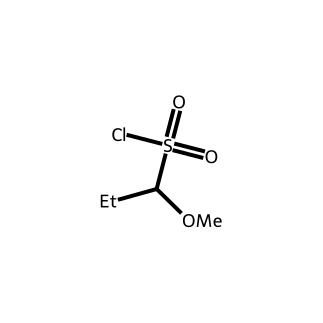 CCC(OC)S(=O)(=O)Cl